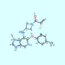 C=C(F)C(=O)N1CC(Nc2c(Oc3ccc(C(F)(F)F)cc3)ncc3ncn(C)c23)C1